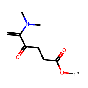 C=C(C(=O)CCC(=O)OCCC)N(C)C